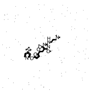 COc1nc(NCCCN(C)C)nc(OC)c1CC(=O)c1ccc(Oc2cc([Si](C)(C)C)ccn2)o1